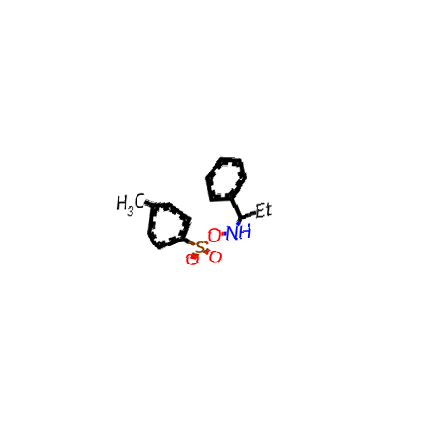 CCC(NOS(=O)(=O)c1ccc(C)cc1)c1ccccc1